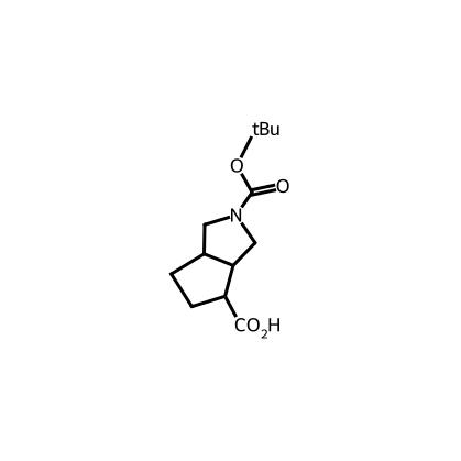 CC(C)(C)OC(=O)N1CC2CCC(C(=O)O)C2C1